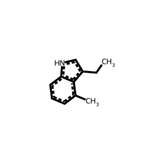 CCc1c[nH]c2cccc(C)c12